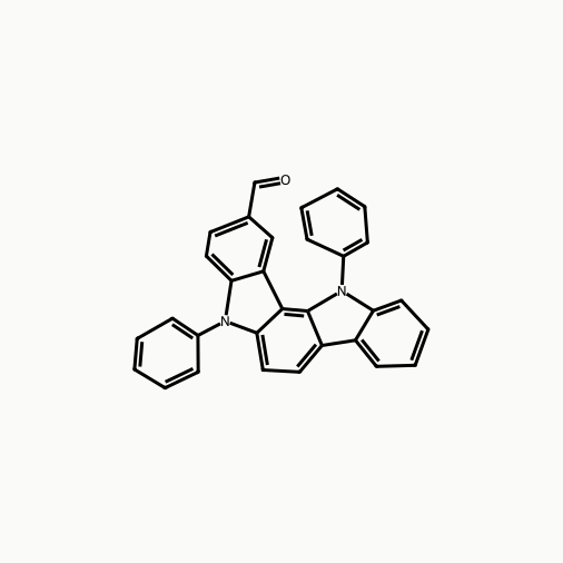 O=Cc1ccc2c(c1)c1c(ccc3c4ccccc4n(-c4ccccc4)c31)n2-c1ccccc1